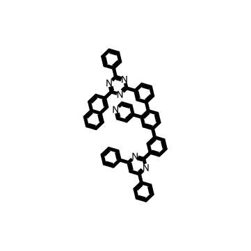 c1ccc(-c2cc(-c3ccccc3)nc(-c3cccc(-c4ccc(-c5cccc(-c6nc(-c7ccccc7)nc(-c7ccc8ccccc8c7)n6)c5)c(-c5ccncc5)c4)c3)n2)cc1